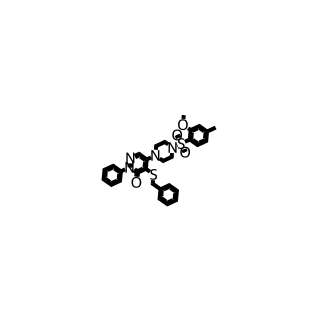 COc1cc(C)ccc1S(=O)(=O)N1CCN(c2cnn(-c3ccccc3)c(=O)c2SCc2ccccc2)CC1